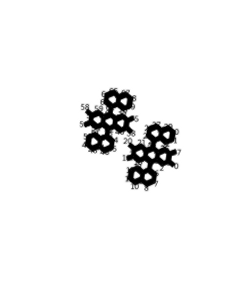 Cc1cc2c(-c3cccc4ccccc34)c3cc(C)c(C)cc3c(-c3cccc4ccccc34)c2cc1C.Cc1cc2c(-c3cccc4ccccc34)c3cc(C)c(C)cc3c(-c3cccc4ccccc34)c2cc1C